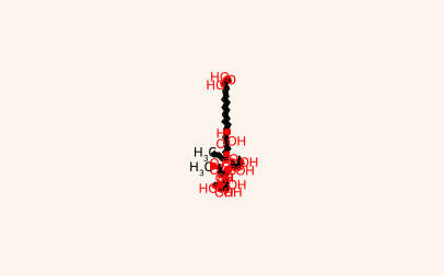 CCCCC(CCCC(O)C(O)CCCCCCCCCCCCCCC(O)C(=O)O)OC1OCC(O)C(O)C1OC1OCC(OC(C)=O)C(O)C1OC1OC(CO)C(O)C(O)C1O